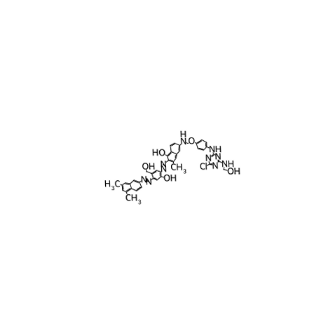 Cc1cc(C)c2ccc(N=Nc3cc(O)c(N=Nc4c(C)cc5cc(NCOc6ccc(Nc7nc(Cl)nc(NCO)n7)cc6)ccc5c4O)cc3CO)cc2c1